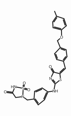 Cc1ccc(OCc2ccc(C=C3SC(Nc4ccc(CN5CC(=O)NS5(=O)=O)cc4)=NC3=O)cc2)cc1